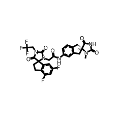 CN1C(=O)NC(=O)[C@@]12Cc1ccc(NC(=O)CN3C(=O)N(CC(F)(F)F)C(=O)C34CCc3c(F)cc(F)cc34)cc1C2